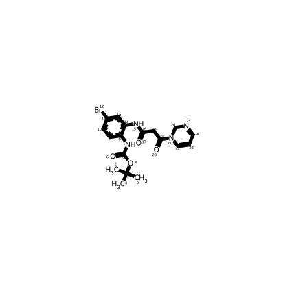 CC(C)(C)OC(=O)Nc1ccc(Br)cc1NC(=O)CC(=O)N1C=CC=NC1